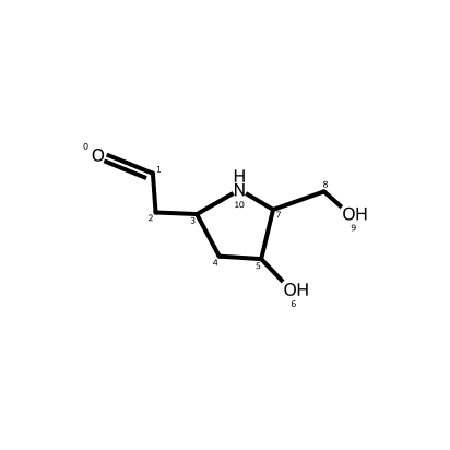 O=CCC1CC(O)C(CO)N1